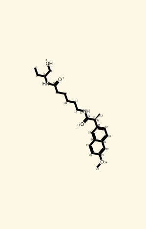 CCC(CO)NC(=O)CCCCCNC(=O)[C@@H](C)c1ccc2cc(OC)ccc2c1